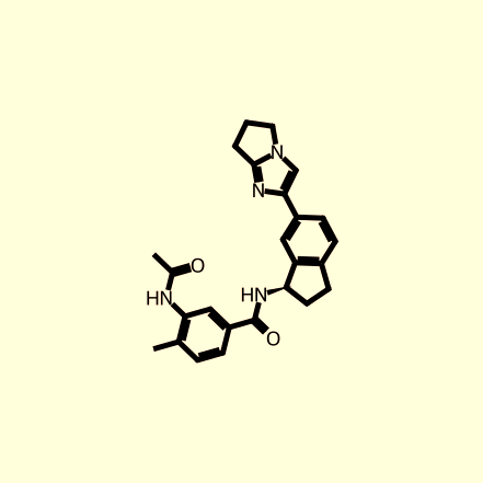 CC(=O)Nc1cc(C(=O)N[C@@H]2CCc3ccc(-c4cn5c(n4)CCC5)cc32)ccc1C